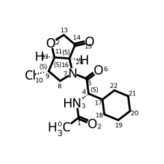 CC(=O)N[C@H](C(=O)N1C[C@H](Cl)[C@H]2OCC(=O)[C@H]21)C1CCCCC1